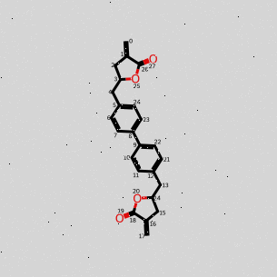 C=C1CC(Cc2ccc(-c3ccc(CC4CC(=C)C(=O)O4)cc3)cc2)OC1=O